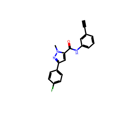 C#Cc1cccc(NC(=O)c2cc(-c3ccc(F)cc3)nn2C)c1